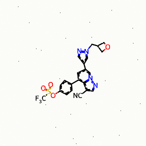 N#Cc1cnn2cc(-c3cnn(CC4COC4)c3)cc(-c3ccc(OS(=O)(=O)C(F)(F)F)cc3)c12